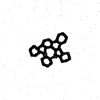 c1ccc(-n2c3ccccc3c3c4ccccc4c4ccc5c6ccccc6oc5c4c32)cc1